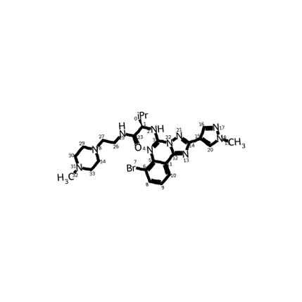 CC(C)[C@@H](Nc1nc2c(Br)cccc2c2nc(-c3cnn(C)c3)nn12)C(=O)NCCN1CCN(C)CC1